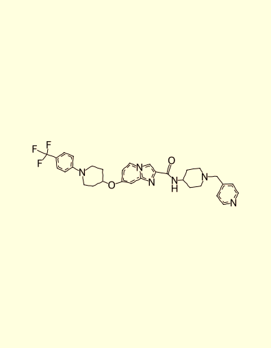 O=C(NC1CCN(Cc2ccncc2)CC1)c1cn2ccc(OC3CCN(c4ccc(C(F)(F)F)cc4)CC3)cc2n1